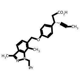 CC#C[C@@H](CC(=O)O)c1ccc(OCc2ccc3c(C)nn(CC(C)C)c3c2C)cc1